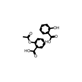 CC(=O)Oc1ccccc1C(=O)O.O=C(O)c1ccccc1O